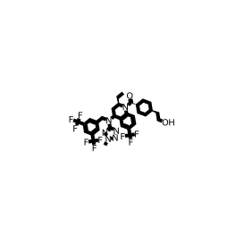 CC[C@@H]1CC(N(Cc2cc(C(F)(F)F)cc(C(F)(F)F)c2)c2nnn(C)n2)c2cc(C(F)(F)F)ccc2N1C(=O)[C@H]1CC[C@H](CCO)CC1